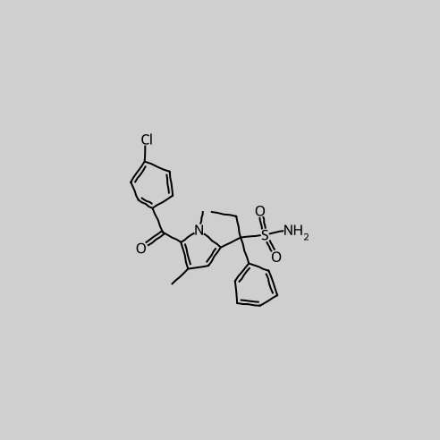 CCC(c1ccccc1)(c1cc(C)c(C(=O)c2ccc(Cl)cc2)n1C)S(N)(=O)=O